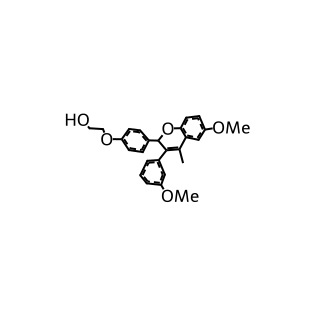 COc1cccc(C2=C(C)c3cc(OC)ccc3OC2c2ccc(OCCO)cc2)c1